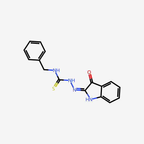 O=C1C(=NNC(=S)NCc2ccccc2)Nc2ccccc21